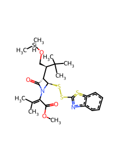 COC(=O)C(=C(C)C)N1C(=O)[C@H]([C@@H](CO[SiH](C)C)C(C)(C)C)[C@H]1SSc1nc2ccccc2s1